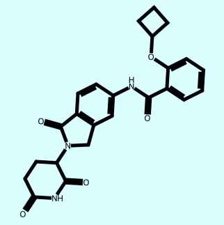 O=C1CCC(N2Cc3cc(NC(=O)c4ccccc4OC4CCC4)ccc3C2=O)C(=O)N1